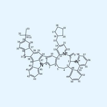 C=C1C2C(CCc3cc4c(cc3-c3cc(CC5CCCC5)cc[n+]31)c1cc3c5cc(C(C)(C)C)ccc5sc3c3c5ccccc5n4c13)c1ccccc1-c1cccc[n+]12